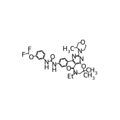 CCN1CC(C)(C)Oc2nc(N3CCOCC3C)nc(-c3ccc(NC(=O)Nc4cccc(OC(F)F)c4)cc3)c2C1=O